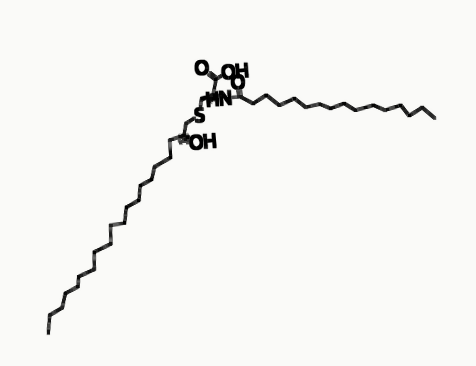 CCCCCCCCCCCCCCCCCC[C@H](O)CSC[C@H](NC(=O)CCCCCCCCCCCCCCC)C(=O)O